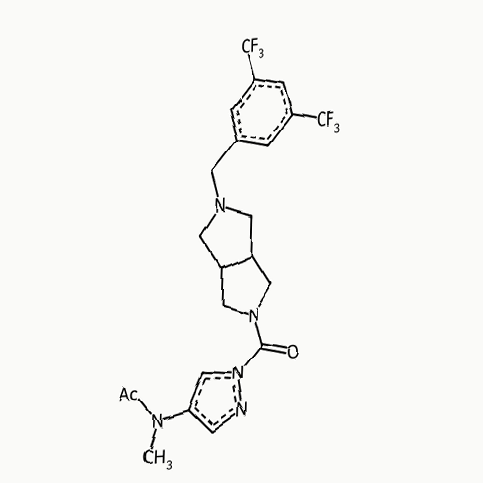 CC(=O)N(C)c1cnn(C(=O)N2CC3CN(Cc4cc(C(F)(F)F)cc(C(F)(F)F)c4)CC3C2)c1